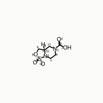 O=C(O)N1CCN2[C@H](COS2(=O)=O)C1